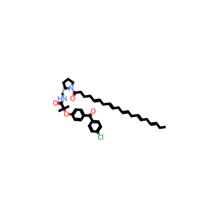 CCC=CCC=CCC=CCC=CCC=CCCCC(=O)N1CCC[C@H]1CNC(=O)C(C)(C)Oc1ccc(C(=O)c2ccc(Cl)cc2)cc1